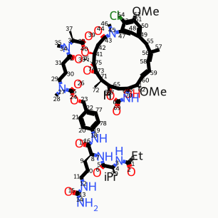 CCC(=O)N[C@H](C(=O)N[C@@H](CCCNC(N)=O)C(=O)Nc1ccc(COC(=O)N(C)CCCC(=O)N(C)[C@@H](C)C(=O)O[C@H]2CC(=O)N(C)c3cc(cc(OC)c3Cl)C/C(C)=C/C=C/[C@@H](OC)[C@@]3(O)C[C@H](OC(=O)N3)[C@@H](C)C3O[C@]32C)cc1)C(C)C